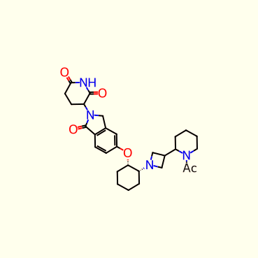 CC(=O)N1CCCCC1C1CN([C@@H]2CCCC[C@@H]2Oc2ccc3c(c2)CN(C2CCC(=O)NC2=O)C3=O)C1